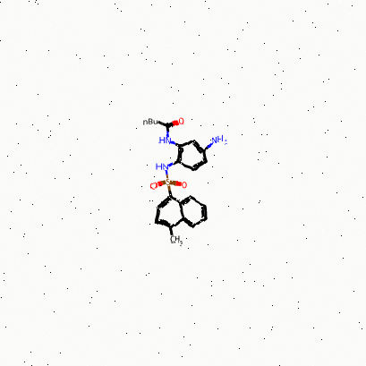 CCCCC(=O)Nc1cc(N)ccc1NS(=O)(=O)c1ccc(C)c2ccccc12